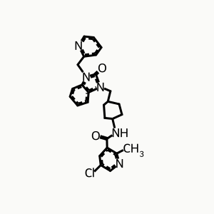 Cc1ncc(Cl)cc1C(=O)NC1CCC(Cn2c(=O)n(Cc3ccccn3)c3ccccc32)CC1